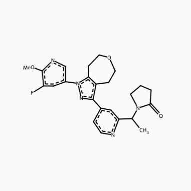 COc1ncc(-n2nc(-c3ccnc(C(C)N4CCCC4=O)c3)c3c2CCOCC3)cc1F